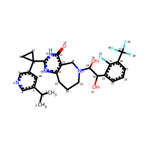 CC(C)c1cncc(C2(c3nc4c(c(=O)[nH]3)CN(C(O)C(O)c3cccc(C(F)(F)F)c3F)CCC4)CC2)c1